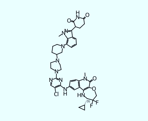 Cn1nc(C2CCC(=O)NC2=O)c2cccc(N3CCCC(N4CCN(c5ncc(Cl)c(Nc6ccc7c(c6)c6c(c(=O)n7C)OCC(F)(F)[C@H](C7CC7)N6)n5)CC4)C3)c21